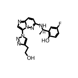 C[C@@H](Nc1ccc2ncc(-n3cc(CCO)nn3)n2n1)c1cc(F)ccc1O